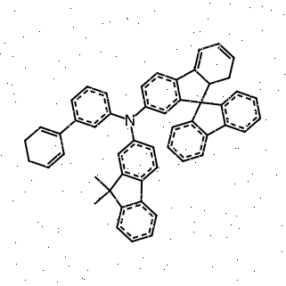 CC1(C)c2ccccc2-c2ccc(N(c3cccc(C4=CCCC=C4)c3)c3ccc4c(c3)C3(c5ccccc5-c5ccccc53)C3CC=CC=C43)cc21